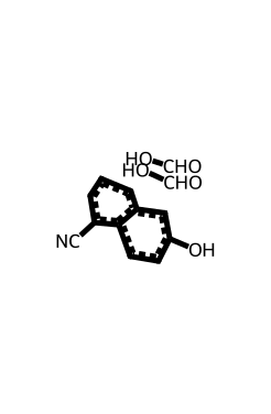 N#Cc1cccc2cc(O)ccc12.O=CO.O=CO